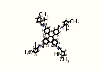 Cc1ccc(/C=N/c2ccc(C(c3ccc(/N=C/c4ccc(C)[nH]4)cc3)C(c3ccc(/N=C/c4ccc(C)[nH]4)cc3)c3ccc(/N=C/c4ccc(C)[nH]4)cc3)cc2)[nH]1